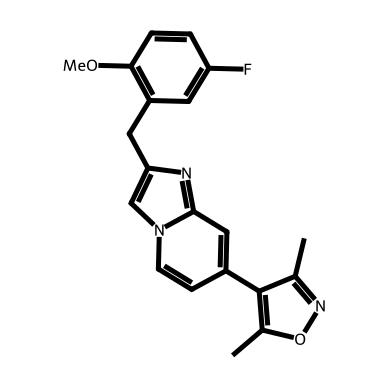 COc1ccc(F)cc1Cc1cn2ccc(-c3c(C)noc3C)cc2n1